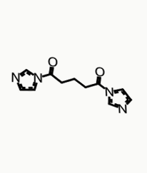 O=C(CCCC(=O)n1ccnc1)n1ccnc1